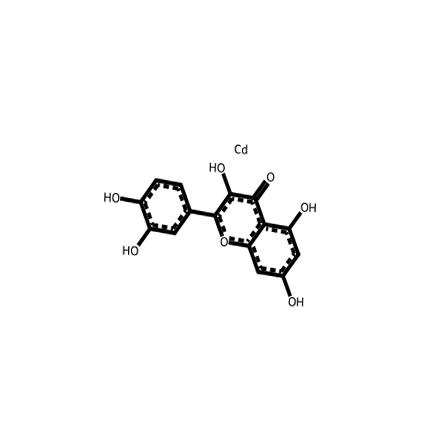 O=c1c(O)c(-c2ccc(O)c(O)c2)oc2cc(O)cc(O)c12.[Cd]